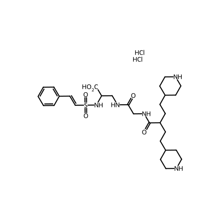 Cl.Cl.O=C(CNC(=O)C(CCC1CCNCC1)CCC1CCNCC1)NCC(NS(=O)(=O)/C=C/c1ccccc1)C(=O)O